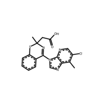 Cc1c(Cl)cnc2c1ncn2C1=NC(C)(CC(=O)O)Sc2ccccc21